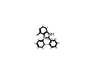 CC1=CCCC2=C1N(C1=CC=CCC1)C(c1ccccc1)N2